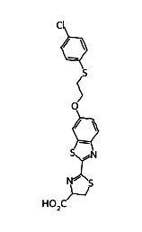 O=C(O)C1CSC(c2nc3ccc(OCCSc4ccc(Cl)cc4)cc3s2)=N1